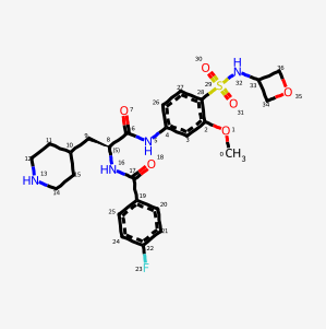 COc1cc(NC(=O)[C@H](CC2CCNCC2)NC(=O)c2ccc(F)cc2)ccc1S(=O)(=O)NC1COC1